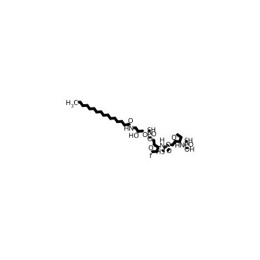 CCCCCCCCCCCCCCCC(=O)NCC(O)COP(=O)(S)OCC1O[C@@H](I)C[C@H]1NP(=O)(S)OCC1OCC[C@H]1NP(=O)(O)S